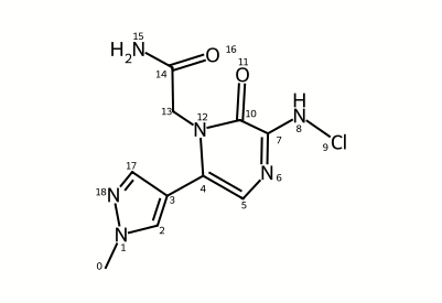 Cn1cc(-c2cnc(NCl)c(=O)n2CC(N)=O)cn1